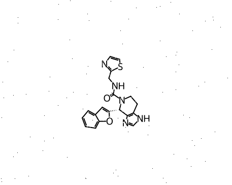 O=C(NCc1nccs1)N1CCc2[nH]cnc2[C@@H]1c1cc2ccccc2o1